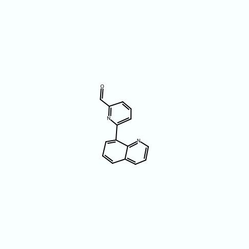 O=Cc1cccc(-c2cccc3cccnc23)n1